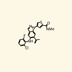 C=C(C)c1cc2c(cnn2-c2csc(C(=O)NC)c2)cc1Nc1c(F)cccc1Cl